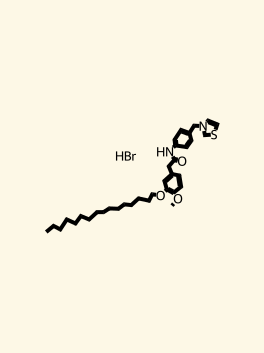 Br.CCCCCCCCCCCCCCCCOc1cc(CC(=O)Nc2ccc(CN3C=CSC3)cc2)ccc1OC